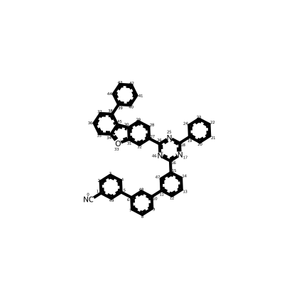 N#Cc1cccc(-c2cccc(-c3cccc(-c4nc(-c5ccccc5)nc(-c5ccc6c(c5)oc5cccc(-c7ccccc7)c56)n4)c3)c2)c1